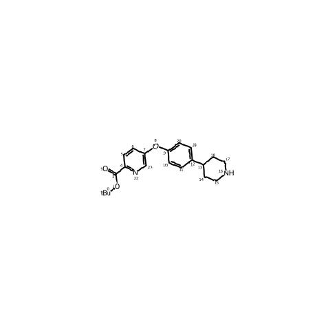 CC(C)(C)OC(=O)c1ccc(Oc2ccc(C3CCNCC3)cc2)cn1